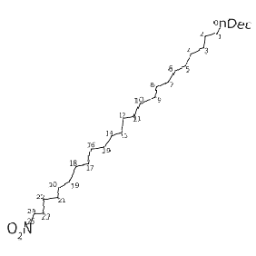 CCCCCCCCCCCCCCCCCCCCCCCCCCCCCCCCCC[N+](=O)[O-]